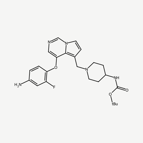 CC(C)(C)OC(=O)NC1CCN(Cc2ccn3cncc(Oc4ccc(N)cc4F)c23)CC1